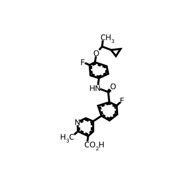 Cc1ncc(-c2ccc(F)c(C(=O)Nc3ccc(OC(C)C4CC4)c(F)c3)c2)cc1C(=O)O